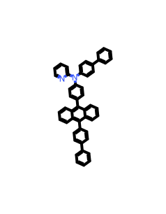 c1ccc(-c2ccc(-c3c4ccccc4c(-c4ccc(N(c5ccc(-c6ccccc6)cc5)c5ccccn5)cc4)c4ccccc34)cc2)cc1